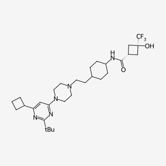 CC(C)(C)c1nc(C2CCC2)cc(N2CCN(CCC3CCC(NC(=O)[C@H]4C[C@@](O)(C(F)(F)F)C4)CC3)CC2)n1